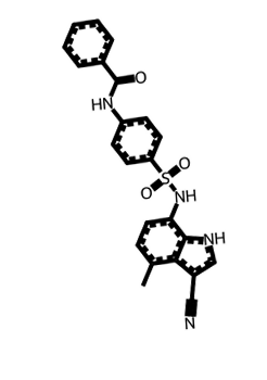 Cc1ccc(NS(=O)(=O)c2ccc(NC(=O)c3ccccc3)cc2)c2[nH]cc(C#N)c12